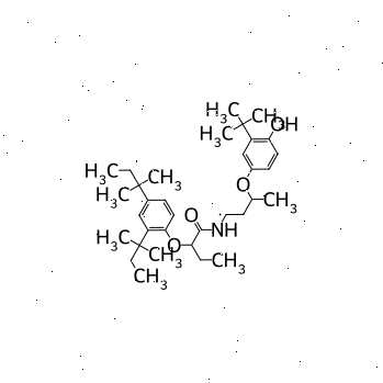 CCC(Oc1ccc(C(C)(C)CC)cc1C(C)(C)CC)C(=O)N[CH]CC(C)Oc1ccc(O)c(C(C)(C)C)c1